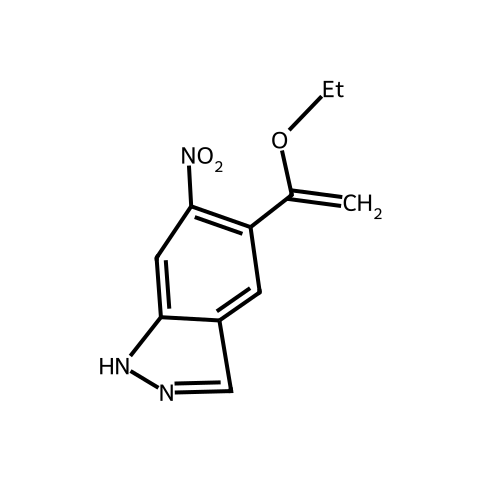 C=C(OCC)c1cc2cn[nH]c2cc1[N+](=O)[O-]